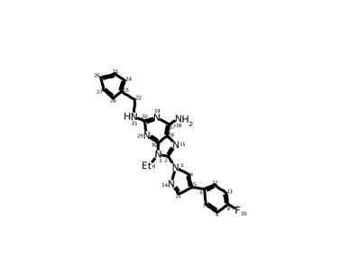 CCn1c(-n2cc(-c3ccc(F)cc3)cn2)nc2c(N)nc(NCc3ccccc3)nc21